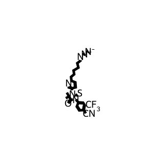 CC1(C)C(=O)N(c2ccc(C#N)c(C(F)(F)F)c2)C(=S)N1c1ccc(CCCCCCN=[N+]=[N-])nc1